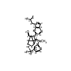 CN(CC1(CC=O)C2CCC1CN(c1cnc3cnn(CC(F)F)c3n1)C2)c1cc(C(F)(F)F)ccn1